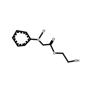 O=C(C[S+]([O-])c1ccccc1)OCCO